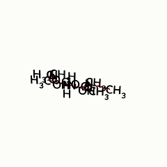 CCCCCCCCCCCCCN(C)CC(=O)OC(CCCCC)C(O)C/C=C/CC(=O)CNCCNC(=O)C/C=C/CC(O)C(CCCCC)OC(=O)CN(C)CC